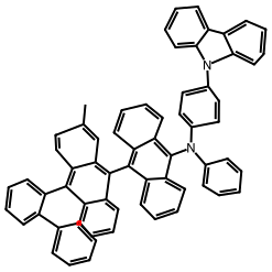 Cc1ccc2c(-c3ccccc3-c3ccccc3)c3ccccc3c(-c3c4ccccc4c(N(c4ccccc4)c4ccc(-n5c6ccccc6c6ccccc65)cc4)c4ccccc34)c2c1